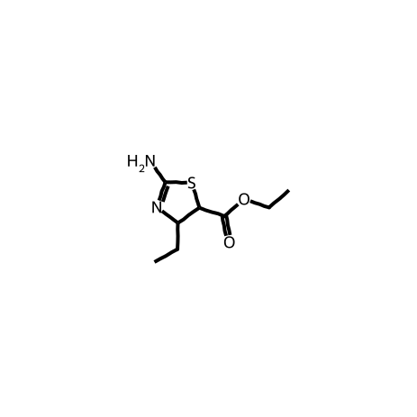 CCOC(=O)C1SC(N)=NC1CC